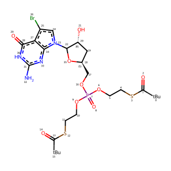 CC(C)(C)C(=O)SCCOP(=O)(OCCSC(=O)C(C)(C)C)OC[C@@H]1C[C@@H](O)C(n2cc(Br)c3c(=O)[nH]c(N)nc32)O1